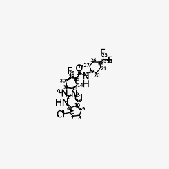 Cn1c(Nc2c(Cl)cccc2Cl)nc2cc(C(=O)NC3CCC(C(F)F)CC3)c(F)cc21